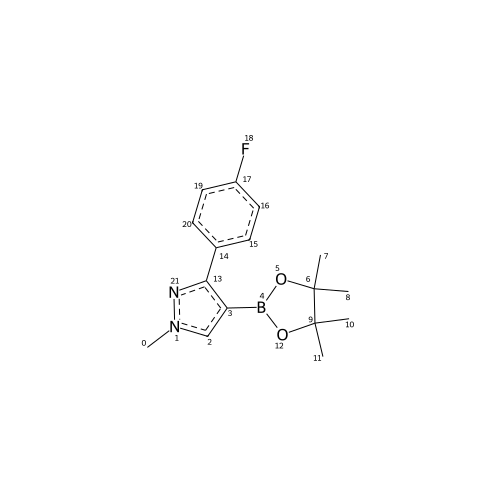 Cn1cc(B2OC(C)(C)C(C)(C)O2)c(-c2ccc(F)cc2)n1